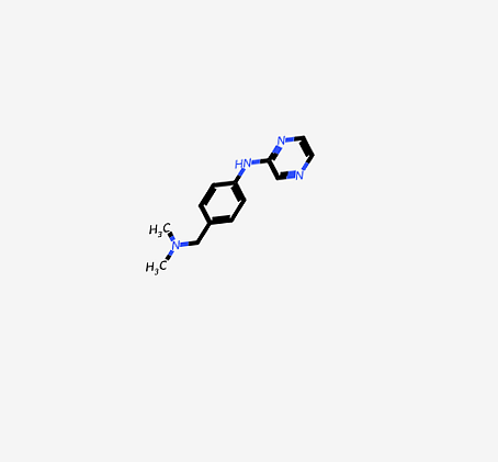 CN(C)Cc1ccc(Nc2cnccn2)cc1